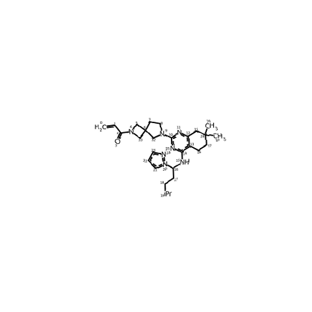 C=CC(=O)N1CC2(CCN(c3nc4c(c(NC(CCC(C)C)n5cccn5)n3)CCC(C)(C)C4)C2)C1